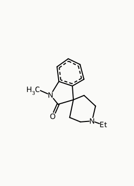 CCN1CCC2(CC1)C(=O)N(C)c1ccccc12